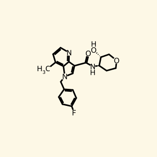 Cc1ccnc2c(C(=O)N[C@@H]3CCOC[C@H]3O)cn(Cc3ccc(F)cc3)c12